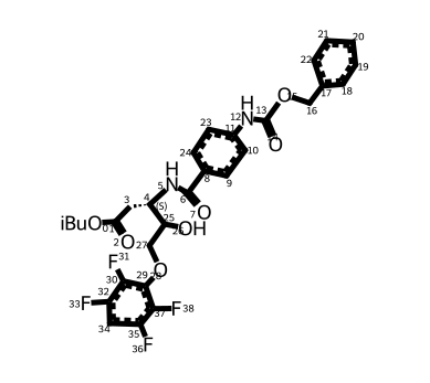 CC(C)COC(=O)C[C@H](NC(=O)c1ccc(NC(=O)OCc2ccccc2)cc1)C(O)COc1c(F)c(F)cc(F)c1F